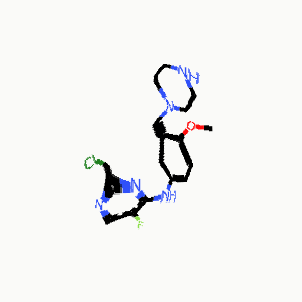 COC1=CC=C(Nc2nc(Cl)ncc2F)CC1=CN1CCNCC1